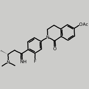 CC(=O)Oc1ccc2c(c1)CCN(c1ccc(C(=N)C[C@@H](C)N(C)C)c(F)c1)C2=O